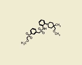 COCC1(C)CCN(c2ccccc2NS(=O)(=O)Cc2cccc(S(=O)(=O)COC)c2)CC1